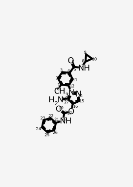 Cc1ccc(C(=O)NC2CC2)cc1-n1ncc(OC(=O)Nc2ccccc2)c1N